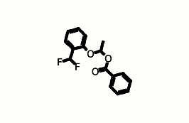 CC(OC(=O)c1ccccc1)Oc1ccccc1C(F)F